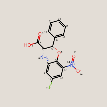 N[C@H](C(=O)O)[C@@H](Oc1ccc(F)cc1[N+](=O)[O-])c1ccccc1